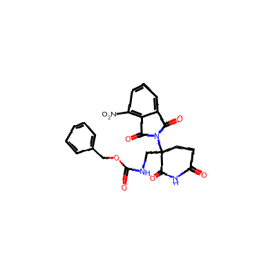 O=C1CCC(CNC(=O)OCc2ccccc2)(N2C(=O)c3cccc([N+](=O)[O-])c3C2=O)C(=O)N1